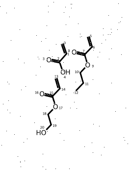 C=CC(=O)O.C=CC(=O)OCCC.C=CC(=O)OCCO